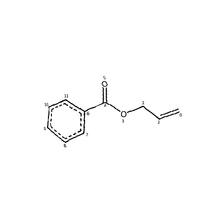 C=CCOC(=O)c1ccccc1